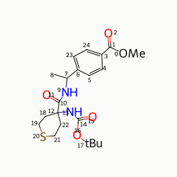 COC(=O)c1ccc(C(C)NC(=O)C2(NC(=O)OC(C)(C)C)CCSCC2)cc1